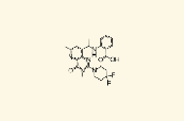 Cc1cc(C(C)Nc2ccccc2C(=O)O)c2nc(N3CCC(F)(F)CC3)n(C)c(=O)c2n1